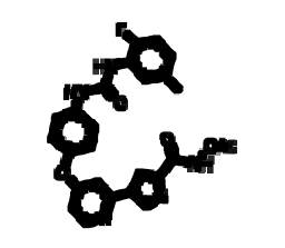 CC(=O)ONC(=O)c1cc(-c2cc(Oc3ccc(NC(=O)Nc4cc(C)ccc4F)cc3)ccn2)cs1